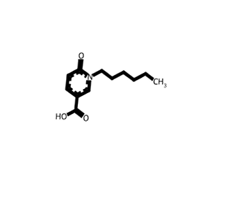 CCCCCCn1cc(C(=O)O)ccc1=O